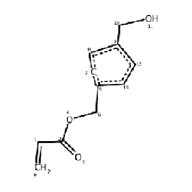 C=CC(=O)OCc1ccc(CO)cc1